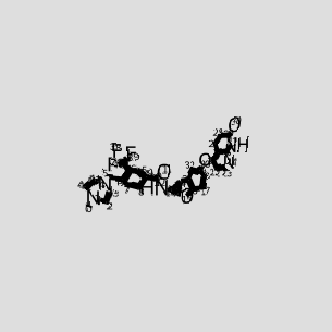 CN1CCN(Cc2ccc(C(=O)NC3C4Oc5ccc(Oc6ccnc7c6CCC(=O)N7)cc5C34)cc2C(F)(F)F)CC1